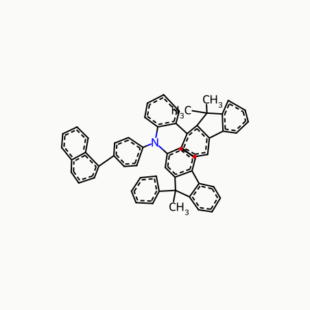 CC1(C)c2ccccc2-c2cccc(-c3ccccc3N(c3ccc(-c4cccc5ccccc45)cc3)c3ccc4c(c3)C(C)(c3ccccc3)c3ccccc3-4)c21